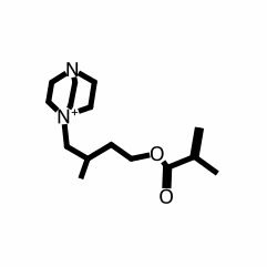 C=C(C)C(=O)OCCC(C)C[N+]12CCN(CC1)CC2